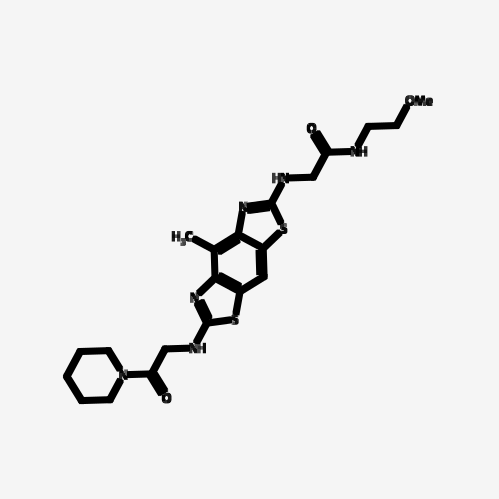 COCCNC(=O)CNc1nc2c(C)c3nc(NCC(=O)N4CCCCC4)sc3cc2s1